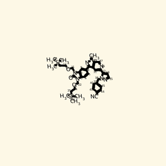 Cn1nc(-c2ccc3c(c2)n(COCC[Si](C)(C)C)c(=O)n3COCC[Si](C)(C)C)c2cc(-c3ccnn3Cc3ccc(C#N)cc3)ncc21